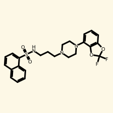 O=S(=O)(NCCCN1CCN(c2cccc3c2OC(F)(F)O3)CC1)c1cccc2ccccc12